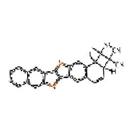 [C-]#[N+]C1(C)[C@H]2c3cc4sc5c6cc7ccccc7cc6sc5c4cc3C=C[C@H]2C1(C#N)C#N